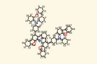 Cc1ccc2c(oc3ccccc32)c1N(c1ccccc1)c1ccc(-c2cc3c4ccccc4oc3c3c2c2cccc4c5c(-c6ccc(N(c7ccccc7)c7c(C)ccc8c7oc7ccccc78)cc6)cc6c7ccccc7oc6c5n3c24)cc1